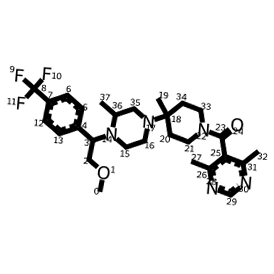 COCC(c1ccc(C(F)(F)F)cc1)N1CCN(C2(C)CCN(C(=O)c3c(C)ncnc3C)CC2)CC1C